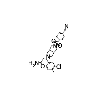 Cc1ccc(C(CC(N)=O)N2CC3CN(S(=O)(=O)c4ccc(C#N)cc4)CC3C2)cc1Cl